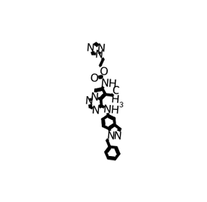 CCc1c(NC(=O)OCCn2cncn2)cn2ncnc(Nc3ccc4c(cnn4Cc4ccccc4)c3)c12